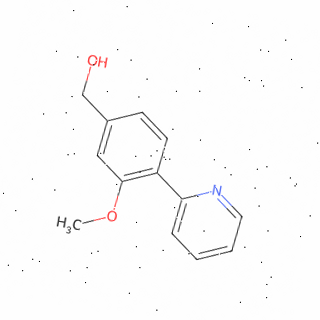 COc1cc(CO)ccc1-c1ccccn1